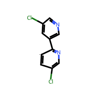 Clc1c[c]c(-c2cncc(Cl)c2)nc1